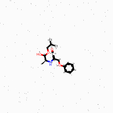 CCC(CC)COC(O)[C@H](C)NC(=C=O)COc1ccccc1